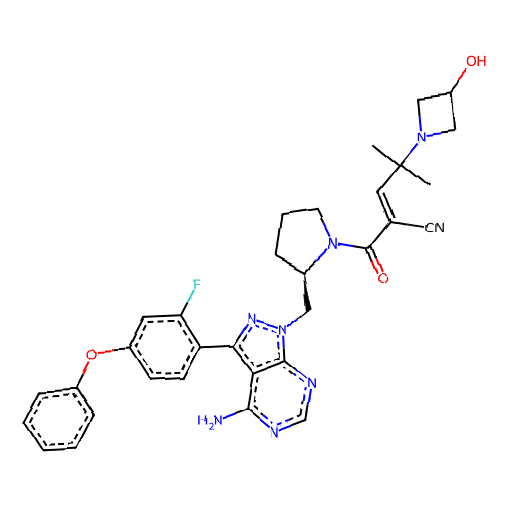 CC(C)(C=C(C#N)C(=O)N1CCC[C@@H]1Cn1nc(-c2ccc(Oc3ccccc3)cc2F)c2c(N)ncnc21)N1CC(O)C1